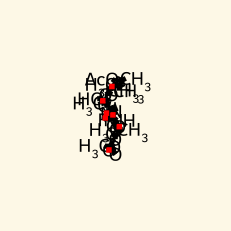 CC(=O)Oc1cc(C)cc(C)c1C(C)(C)CC(=O)O[C@H]1C[C@H](n2cnc3c(NC(=O)OC(C)(C)CC(=O)OCc4oc(=O)oc4C)nc(F)nc32)O[C@]1(C)CO